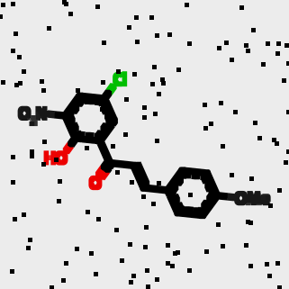 COc1ccc(C=CC(=O)c2cc(Cl)cc([N+](=O)[O-])c2O)cc1